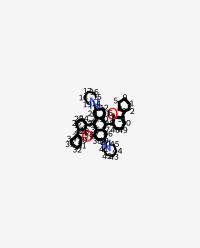 c1ccc2c(c1)oc1c(-c3c4ccc(N5CCCCC5)cc4c(-c4cccc5c4oc4ccccc45)c4ccc(N5CCCCC5)cc34)cccc12